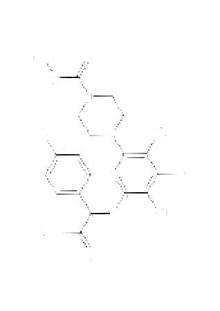 CCc1c(C#N)c(SC(C(=O)OC)c2ccc(F)cc2)nc(N2CCN(C(=O)OC(C)(C)C)CC2)c1C#N